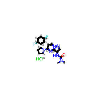 CN(C)C(=O)Nc1cnn2ccc(N3CCC[C@@H]3c3cc(F)ccc3F)nc12.Cl